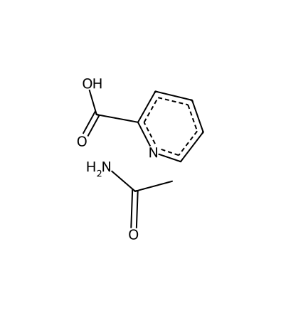 CC(N)=O.O=C(O)c1ccccn1